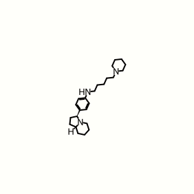 c1cc([C@@H]2CC[C@H]3CCCCN32)ccc1NCCCCCN1CCCCC1